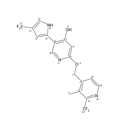 Cc1c(COc2cc(O)c(-c3cc(C(F)(F)F)c[nH]3)cn2)ccnc1C(F)(F)F